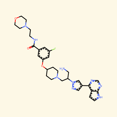 NCC(CN1CCC(Oc2cc(F)cc(C(=O)NCCN3CCOCC3)c2)CC1)n1cc(-c2ncnc3[nH]ccc23)cn1